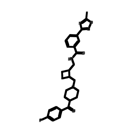 Cc1nc(-c2cccc(C(=O)NCC3CCC3CN3CCC(C(=O)c4ccc(F)cc4)CC3)c2)no1